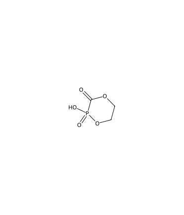 O=C1OCCOP1(=O)O